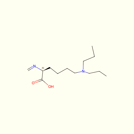 C=N[C@@H](CCCCN(CCC)CCC)C(=O)O